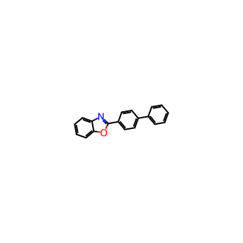 c1ccc(-c2ccc(-c3nc4ccccc4o3)cc2)cc1